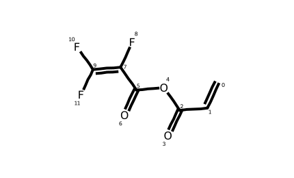 C=CC(=O)OC(=O)C(F)=C(F)F